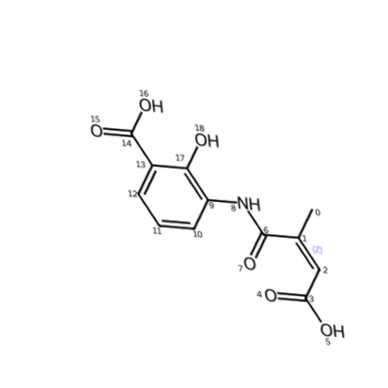 C/C(=C/C(=O)O)C(=O)Nc1cccc(C(=O)O)c1O